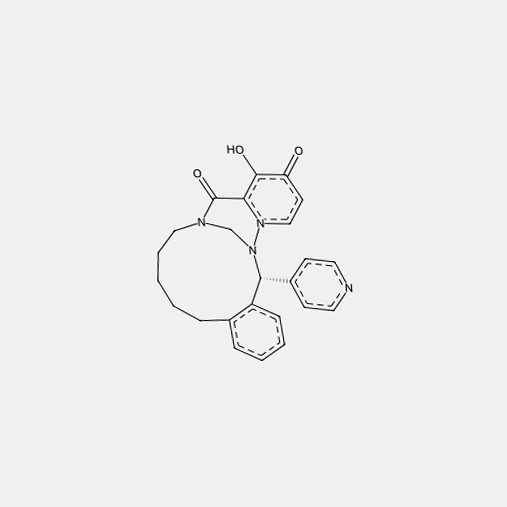 O=C1c2c(O)c(=O)ccn2N2CN1CCCCCc1ccccc1[C@H]2c1ccncc1